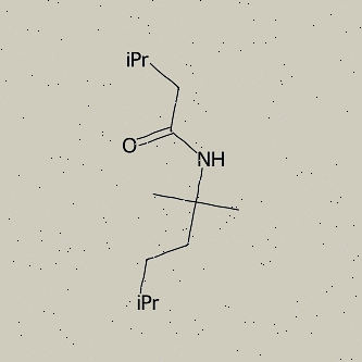 CC(C)CCC(C)(C)NC(=O)CC(C)C